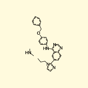 CCCn1ccnc1-c1ccc2ncnc(Nc3ccc(OCc4ccccc4)cc3)c2c1.CNC